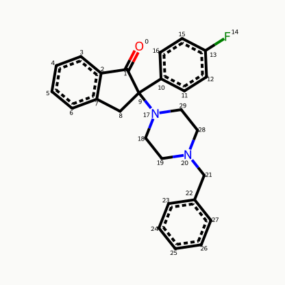 O=C1c2ccccc2CC1(c1ccc(F)cc1)N1CCN(Cc2ccccc2)CC1